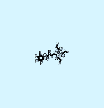 CCC(=O)O[Si](CCCN(F)C(=O)Oc1cc(F)c(F)c(F)c1F)(OC(=O)CC)OC(=O)CC